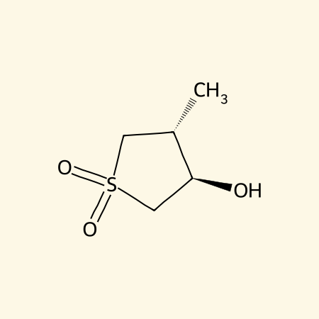 C[C@H]1CS(=O)(=O)C[C@@H]1O